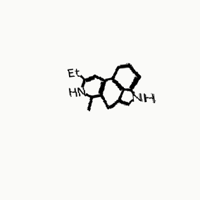 CCC1=CC2=C(CC3CNC4=CCCC2=C43)C(C)N1